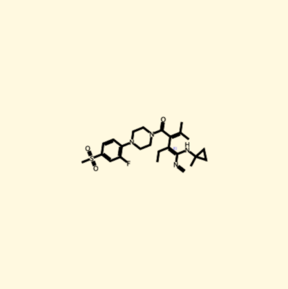 C=N/C(NC1(C)CC1)=C(\CC)C(C(=O)N1CCN(c2ccc(S(C)(=O)=O)cc2F)CC1)=C(C)C